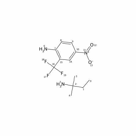 CCC(C)(C)N.Nc1ccc([N+](=O)[O-])cc1C(F)(F)F